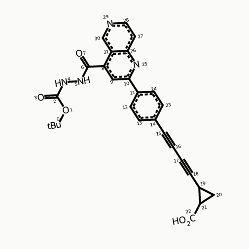 CC(C)(C)OC(=O)NNC(=O)c1cc(-c2ccc(C#CC#CC3CC3C(=O)O)cc2)nc2ccncc12